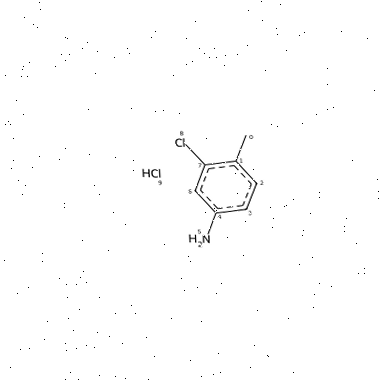 Cc1ccc(N)cc1Cl.Cl